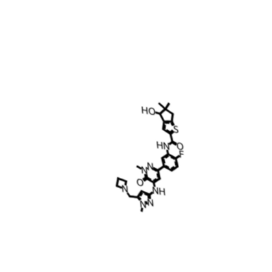 Cn1nc(Nc2cc(-c3ccc(F)c(NC(=O)c4cc5c(s4)CC(C)(C)C5O)c3)nn(C)c2=O)cc1CN1CCC1